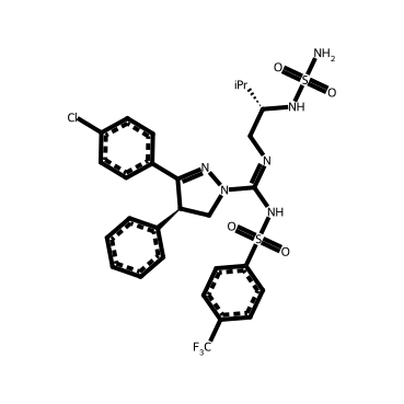 CC(C)[C@@H](C/N=C(/NS(=O)(=O)c1ccc(C(F)(F)F)cc1)N1C[C@@H](c2ccccc2)C(c2ccc(Cl)cc2)=N1)NS(N)(=O)=O